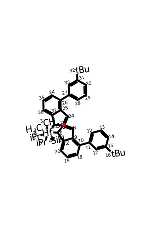 C[CH](C)[Hf]([CH3])([CH3])(=[SiH2])([CH](C)C)([CH]1C=Cc2c(-c3cccc(C(C)(C)C)c3)cccc21)[CH]1C=Cc2c(-c3cccc(C(C)(C)C)c3)cccc21